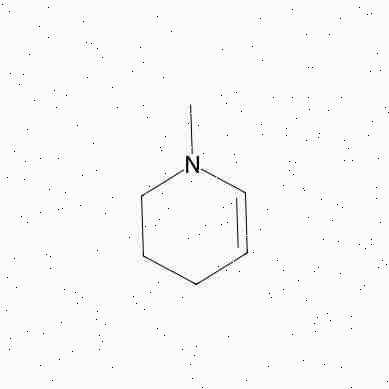 CN1C=CCCC1